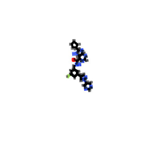 O=C(NCc1cc(F)cc(-c2cnn(-c3cncnc3)c2)c1)c1ncnc2nc(C3CCCC3)[nH]c12